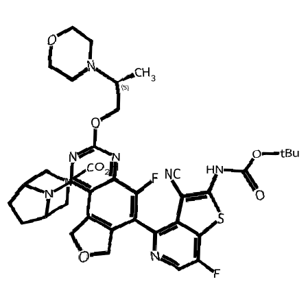 C[C@@H](COc1nc(N2C3CCC2CN(C(=O)O)C3)c2c3c(c(-c4ncc(F)c5sc(NC(=O)OC(C)(C)C)c(C#N)c45)c(F)c2n1)COC3)N1CCOCC1